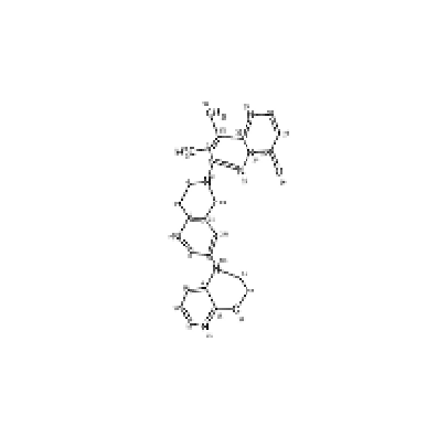 Cc1c(N2CCc3ncc(N4CCOc5ncccc54)cc3C2)nn2c(=O)ccnc2c1C